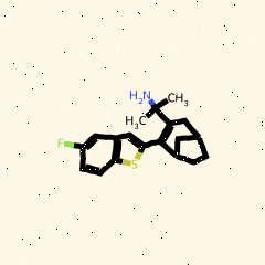 CC(C)(N)C1=C(c2cc3cc(F)ccc3s2)C2CCC(C1)C2